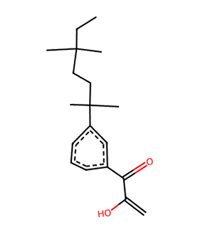 C=C(O)C(=O)c1cccc(C(C)(C)CCC(C)(C)CC)c1